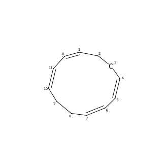 [C]1=CCCC=CC=CCCC=C1